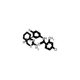 Cc1cc(Cl)ccc1C(=O)Nc1ccc(F)c([C@]23CCCC[C@H]2CSC(N)=N3)c1